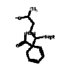 CCCCCCCC(=O)C1(C(CCCCCCC)CCC(C)O)C=CC=CC1